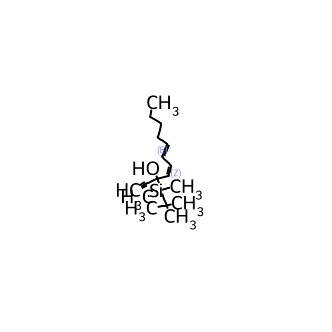 C#CC(O)(/C=C\C=C\CCCC)[Si](C)(C)C(C)(C)C